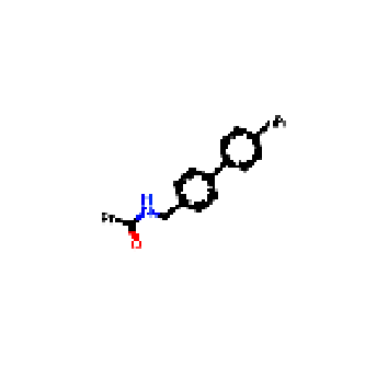 CCCc1ccc(-c2ccc(CNC(=O)C(C)C)cc2)cc1